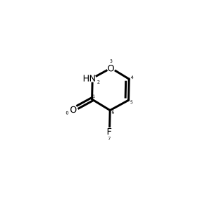 O=C1NOC=CC1F